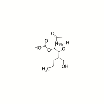 CCCC(CO)=C1O[C@@H]2CC(=O)N2C1OC(=O)O